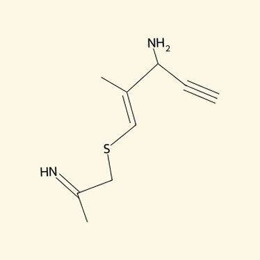 C#CC(N)C(C)=CSCC(C)=N